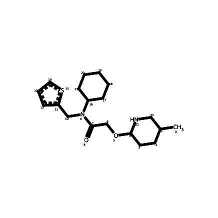 CC1CCC(OCC(=O)N(Cc2cccs2)C2CCCCC2)NC1